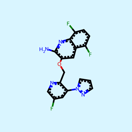 Nc1nc2c(F)ccc(F)c2cc1OCc1ncc(F)cc1-n1cccn1